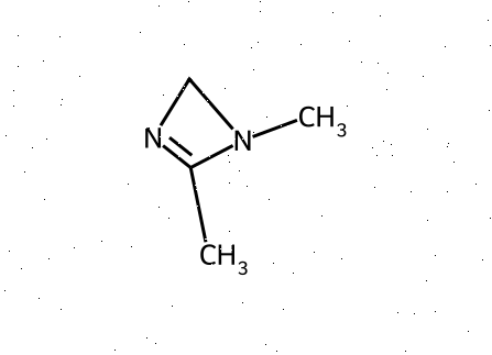 CC1=NCN1C